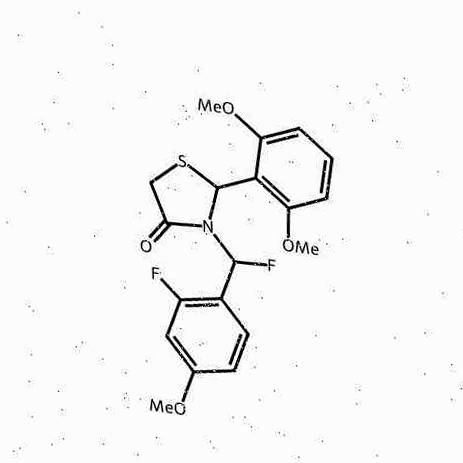 COc1ccc(C(F)N2C(=O)CSC2c2c(OC)cccc2OC)c(F)c1